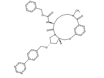 CN1CCC[C@H](NC(=O)OCc2ccccc2)C(=O)N2C[C@@H](OCc3ccc(-c4cncnc4)cc3)C[C@H]2COc2cccc(c2)C1=O